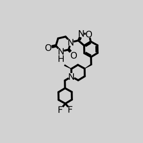 C[C@H]1C[C@@H](Cc2ccc3onc(N4CCC(=O)NC4=O)c3c2)CCN1CC1CCC(F)(F)CC1